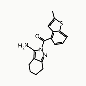 Cc1cc2c(C(=O)n3nc4c(c3N)CCCC4)cccc2s1